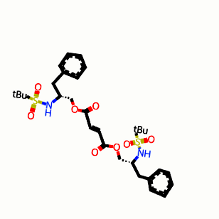 CC(C)(C)S(=O)(=O)N[C@@H](COC(=O)/C=C/C(=O)OC[C@@H](Cc1ccccc1)NS(=O)(=O)C(C)(C)C)Cc1ccccc1